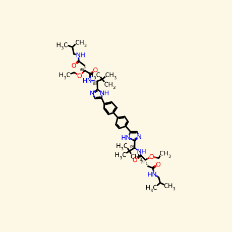 CCO[C@H](CC(=O)NCC(C)C)C(=O)N[C@H](c1ncc(-c2ccc(-c3ccc(-c4cnc([C@@H](NC(=O)[C@@H](CC(=O)NCC(C)C)OCC)C(C)(C)C)[nH]4)cc3)cc2)[nH]1)C(C)(C)C